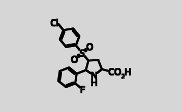 O=C(O)C1CC(S(=O)(=O)c2ccc(Cl)cc2)C(c2ccccc2F)N1